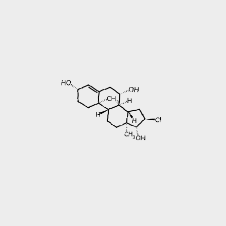 C[C@]12CC[C@H]3[C@@H]([C@@H](O)CC4=C[C@@H](O)CC[C@@]43C)[C@@H]1C[C@@H](Cl)[C@@H]2O